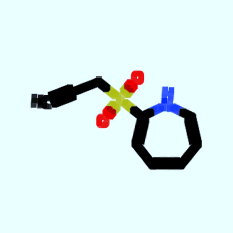 C#C[CH]S(=O)(=O)C1=CC=CC=CN1